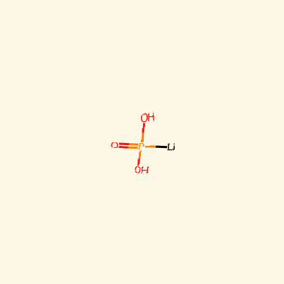 [Li][P](=O)(O)O